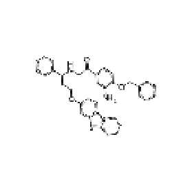 Nc1cc(C(=O)CNC(CCOc2ccc3c(c2)sc2ccccc23)c2ccccc2)ccc1OCc1ccccc1